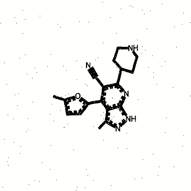 Cc1ccc(-c2c(C#N)c(C3CCNCC3)nc3[nH]nc(C)c23)o1